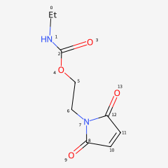 CCNC(=O)OCCN1C(=O)C=CC1=O